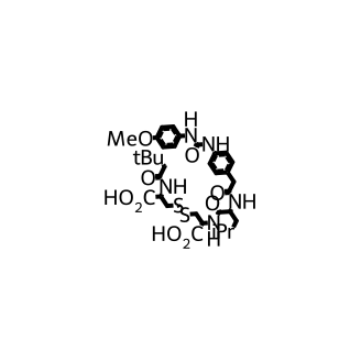 COc1ccc(NC(=O)Nc2ccc(CC(=O)NC(CC(C)C)C(=O)NC(CSSCC(NC(=O)CC(C)(C)C)C(=O)O)C(=O)O)cc2)cc1